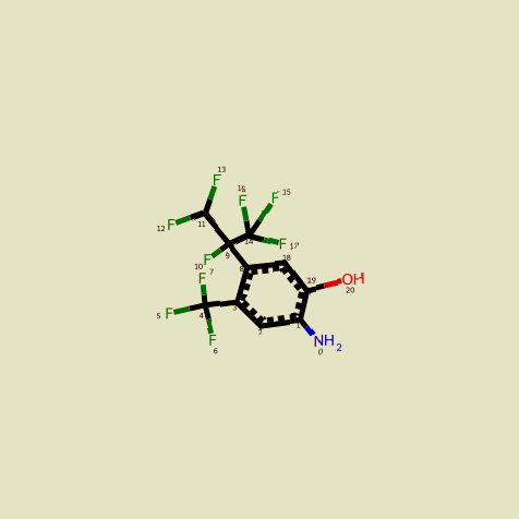 Nc1cc(C(F)(F)F)c(C(F)(C(F)F)C(F)(F)F)cc1O